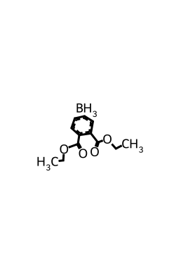 B.CCOC(=O)c1ccccc1C(=O)OCC